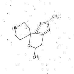 Cc1cc2c(s1)C1(CCNCC1)OC(C)C2